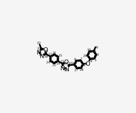 Cc1ccc(Oc2ccc(-c3nnc(-c4ccc(-c5nnc(C)o5)cc4)o3)cc2)cc1